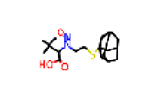 CC(C)(C)C(C(=O)O)N(CCSC12CC3CC(CC(C3)C1)C2)N=O